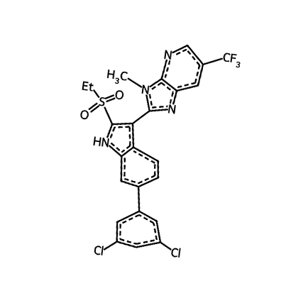 CCS(=O)(=O)c1[nH]c2cc(-c3cc(Cl)cc(Cl)c3)ccc2c1-c1nc2cc(C(F)(F)F)cnc2n1C